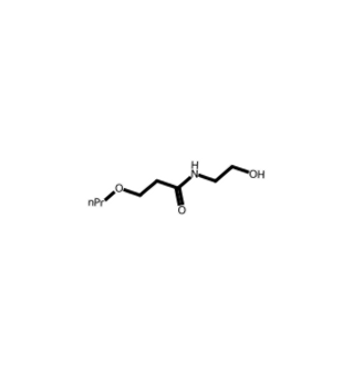 CCCOCCC(=O)NCCO